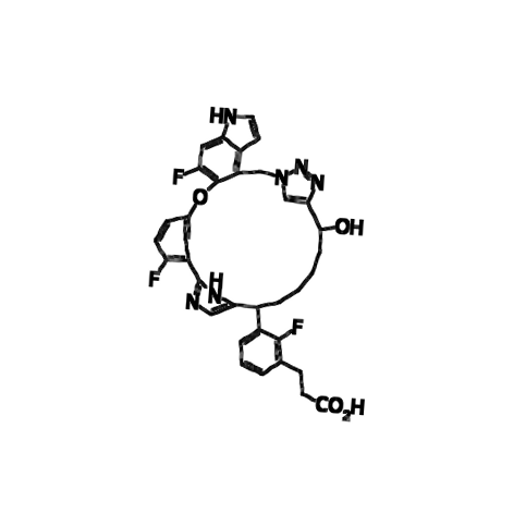 O=C(O)CCc1cccc(C2CCCCC(O)c3cn(nn3)Cc3c(c(F)cc4[nH]ccc34)Oc3ccc(F)c(c3)-c3ncc2[nH]3)c1F